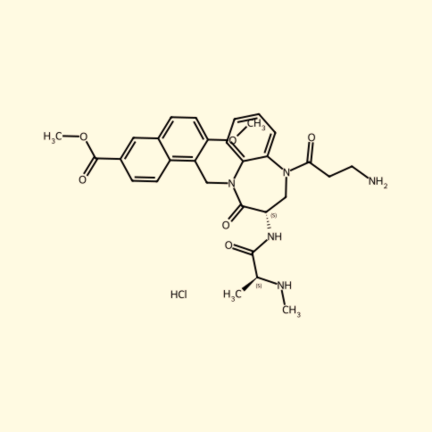 CN[C@@H](C)C(=O)N[C@H]1CN(C(=O)CCN)c2ccccc2N(Cc2c(OC)ccc3cc(C(=O)OC)ccc23)C1=O.Cl